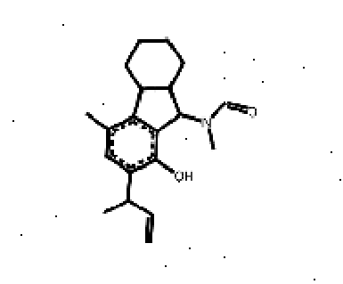 C=CC(C)c1cc(C)c2c(c1O)C(N(C)C=O)C1CCCCC21